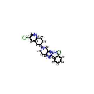 Clc1cnc2c(c1)CC(N1CCc3nc(-c4ccccc4Cl)[nH]c3C1)CC2